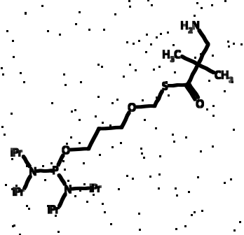 CC(C)N(C(C)C)P(OCCCOCSC(=O)C(C)(C)CN)N(C(C)C)C(C)C